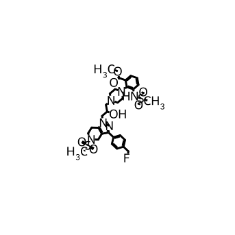 COC(=O)c1cccc(NS(C)(=O)=O)c1N1CCN(CC(O)Cn2nc(-c3ccc(CF)cc3)c3c2CCN(S(C)(=O)=O)C3)CC1